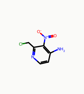 Nc1ccnc(CCl)c1[N+](=O)[O-]